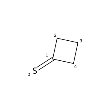 S=C1CCC1